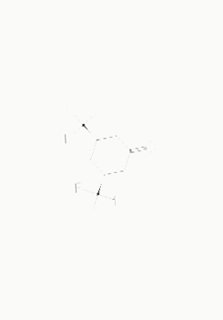 O=C1C[C@@H](C(F)(F)F)C[C@@H](C(F)(F)F)C1